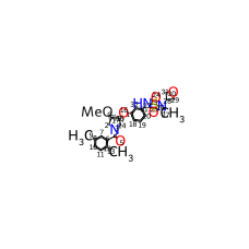 CO[C@@H]1CN(C(=O)c2cc(C)ccc2C)C[C@H]1Oc1cccc(NS(=O)(=O)N(C)C2COC2)c1